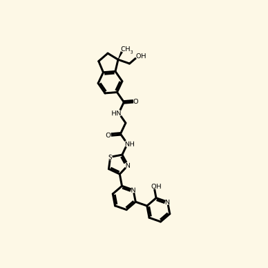 C[C@]1(CO)CCc2ccc(C(=O)NCC(=O)Nc3nc(-c4cccc(-c5cccnc5O)n4)cs3)cc21